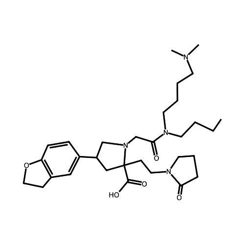 CCCCN(CCCCN(C)C)C(=O)CN1CC(c2ccc3c(c2)CCO3)CC1(CCN1CCCC1=O)C(=O)O